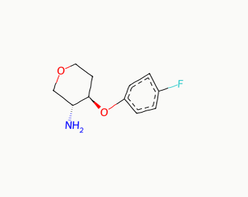 N[C@@H]1COCC[C@H]1Oc1ccc(F)cc1